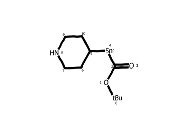 CC(C)(C)O[C](=O)[Sn][CH]1CCNCC1